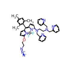 Cc1cc(C)c(C2=C3C=CC(N(CCN(Cc4ccccn4)Cc4ccccn4)Cc4ccccn4)=[N+]3[B-](F)(F)n3c(OCCN=[N+]=[N-])ccc32)c(C)c1